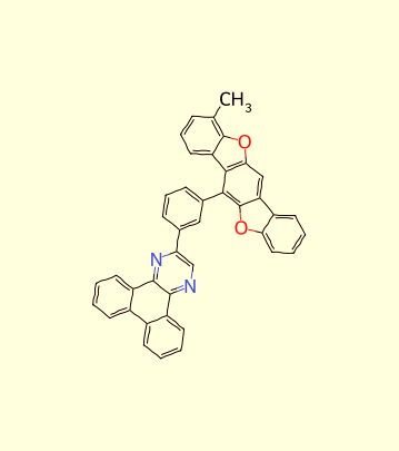 Cc1cccc2c1oc1cc3c(oc4ccccc43)c(-c3cccc(-c4cnc5c6ccccc6c6ccccc6c5n4)c3)c12